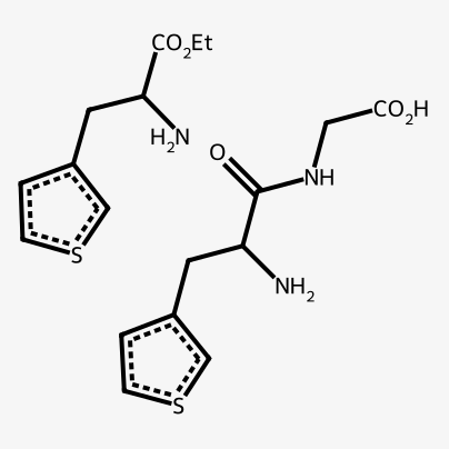 CCOC(=O)C(N)Cc1ccsc1.NC(Cc1ccsc1)C(=O)NCC(=O)O